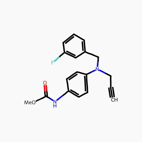 C#CCN(Cc1cccc(F)c1)c1ccc(NC(=O)OC)cc1